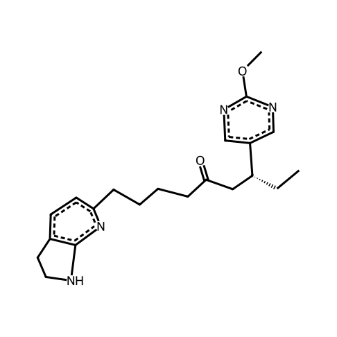 CC[C@H](CC(=O)CCCCc1ccc2c(n1)NCC2)c1cnc(OC)nc1